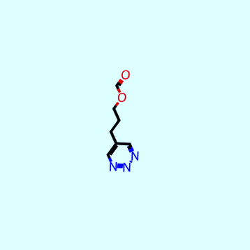 O=COCCCc1cnnnc1